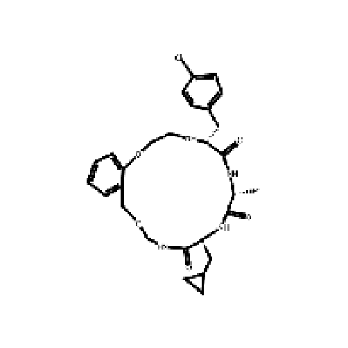 CC(C)[C@H]1NC(=O)[C@@H](Cc2ccc(Cl)cc2)NCCOc2ccccc2CCCNC(=O)[C@H](CC2CC2)NC1=O